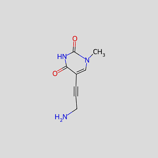 Cn1cc(C#CCN)c(=O)[nH]c1=O